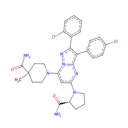 CC1(C(N)=O)CCN(c2cc(N3CCC[C@H]3C(N)=O)nc3c(-c4ccc(Cl)cc4)c(-c4ccccc4Cl)nn23)CC1